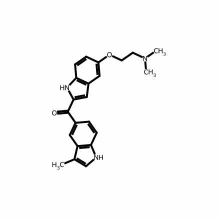 Cc1c[nH]c2ccc(C(=O)c3cc4cc(OCCN(C)C)ccc4[nH]3)cc12